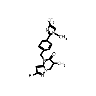 CC1Cn2nc(Br)cc2N(Cc2ccc(-c3nc(C(F)(F)F)cn3C)cc2)C1=O